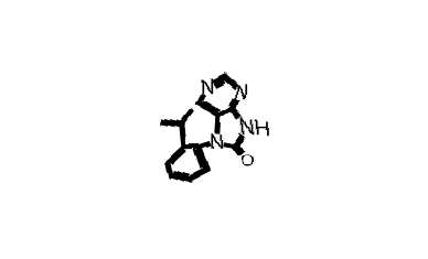 CC(C)c1ccccc1-n1c(=O)[nH]c2ncncc21